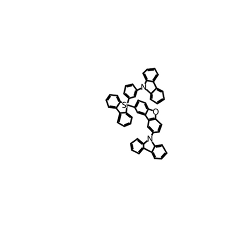 c1cc(-n2c3ccccc3c3ccccc32)cc([Si]2(c3ccc4oc5ccc(-n6c7ccccc7c7ccccc76)cc5c4c3)c3ccccc3-c3ccccc32)c1